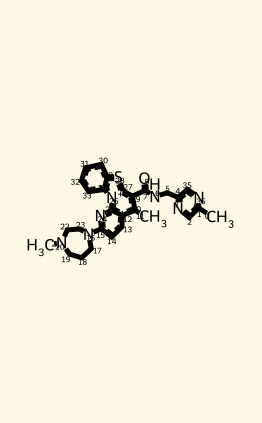 Cc1cnc(CNC(=O)c2c(C)c3ccc(N4CCCN(C)CC4)nc3[n+]3c2sc2ccccc23)cn1